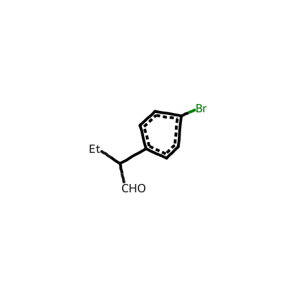 CCC(C=O)c1ccc(Br)cc1